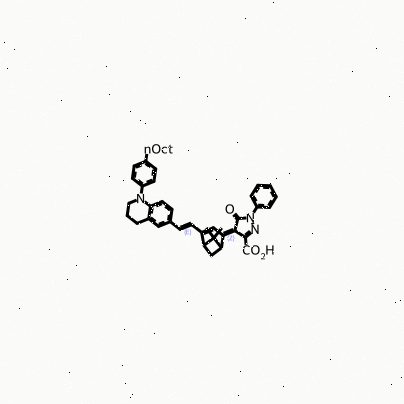 CCCCCCCCc1ccc(N2CCCc3cc(/C=C/C4=CC(=C5\C(=O)N(c6ccccc6)N=C5C(=O)O)/C5CC4C5(C)C)ccc32)cc1